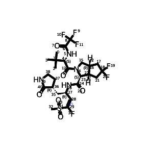 CC(C)(C)[C@H](NC(=O)C(F)(F)F)C(=O)N1C[C@@H]2CC(F)(F)C[C@@H]2[C@H]1C(=O)N[C@@H](/C=C(/F)S(C)(=O)=O)C[C@H]1CCNC1=O